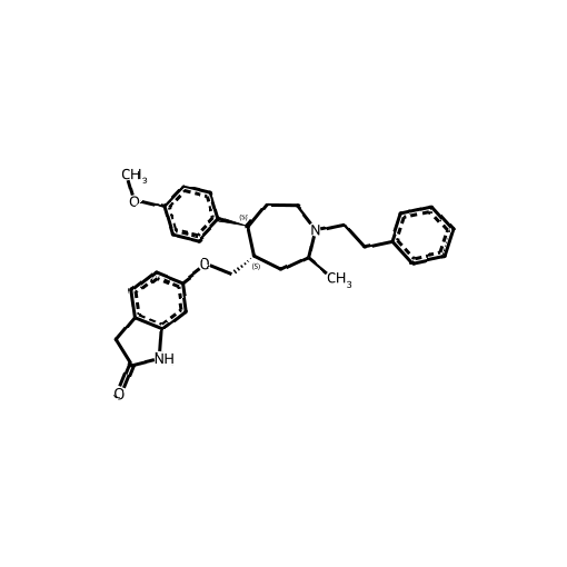 COc1ccc([C@H]2CCN(CCc3ccccc3)C(C)C[C@@H]2COc2ccc3c(c2)NC(=O)C3)cc1